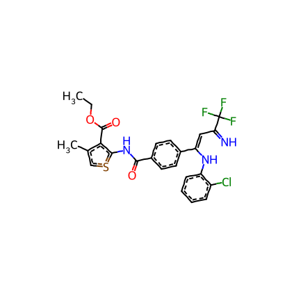 CCOC(=O)c1c(C)csc1NC(=O)c1ccc(/C(=C/C(=N)C(F)(F)F)Nc2ccccc2Cl)cc1